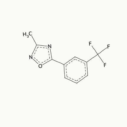 Cc1noc(-c2cccc(C(F)(F)F)c2)n1